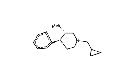 CS[C@@H]1CN(CC2CC2)CC[C@H]1c1ccccc1